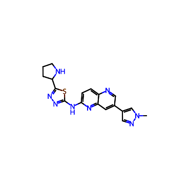 Cn1cc(-c2cnc3ccc(Nc4nnc(C5CCCN5)s4)nc3c2)cn1